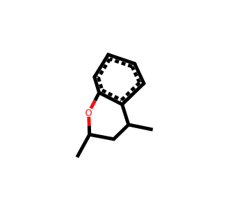 CC1CC(C)c2ccccc2O1